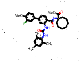 COC(=O)C1(NC(=O)c2ccc(-c3ccc(OC)c(F)c3)cc2NC(=O)Nc2c(C)cc(C)cc2C)CCCCCCC1